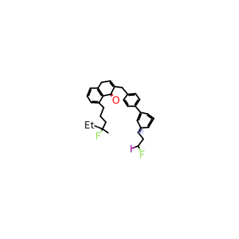 CCC(C)(F)CCCc1cccc2c1C(=O)C(Cc1ccc(C3=C/C(=C/CC(F)I)C=C=C3)cc1)=CC2